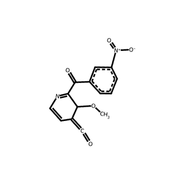 COC1C(=C=O)C=CN=C1C(=O)c1cccc([N+](=O)[O-])c1